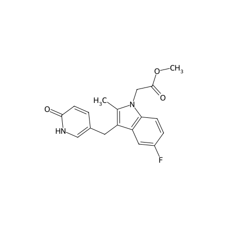 COC(=O)Cn1c(C)c(Cc2ccc(=O)[nH]c2)c2cc(F)ccc21